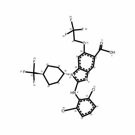 O=C(O)c1cc2nc(Nc3c(Cl)cccc3Cl)n([C@H]3CC[C@H](C(F)(F)F)CC3)c2cc1OCC(F)(F)F